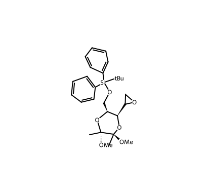 CO[C@]1(C)O[C@@H](CO[Si](c2ccccc2)(c2ccccc2)C(C)(C)C)[C@@H](C2CO2)O[C@@]1(C)OC